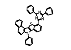 c1ccc(-c2nc(-c3ccccc3)nc(-c3cccc4c3sc3c5c6ccccc6ccc5n(-c5ccccc5)c43)n2)cc1